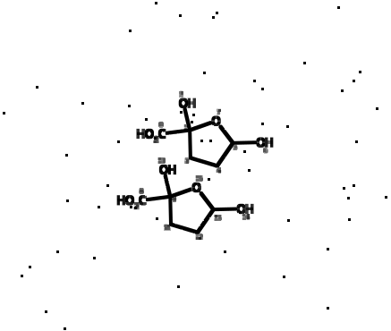 O=C(O)C1(O)CCC(O)O1.O=C(O)C1(O)CCC(O)O1